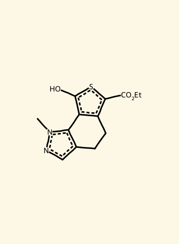 CCOC(=O)c1sc(O)c2c1CCc1cnn(C)c1-2